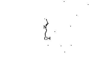 [CH2]C=NCCO